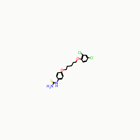 NC(=S)Nc1ccc(OCCCCCOc2ccc(Cl)cc2Cl)cc1